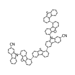 N#Cc1ccc2c3ccccc3n(-c3cccc4c3oc3cccc(-c5ccc6sc7c(-c8ccc9c(c8)c8ccc(C#N)cc8n9-c8cccc9c8oc8cccc(-c%10cccc%11sc%12ccccc%12c%10%11)c89)cccc7c6c5)c34)c2c1